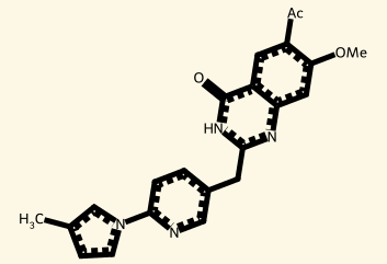 COc1cc2nc(Cc3ccc(-n4ccc(C)c4)nc3)[nH]c(=O)c2cc1C(C)=O